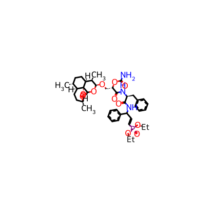 CCOP(=O)(/C=C/C(NC(=O)[C@H](Cc1ccccc1)NC(=O)[C@H](CO[C@H]1O[C@@H]2O[C@@]3(C)CC[C@H]4[C@H](C)CC[C@@H]([C@H]1C)[C@@]24OO3)OC(N)=O)c1ccccc1)OCC